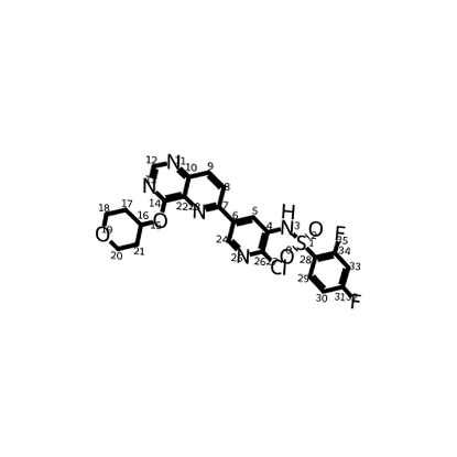 O=S(=O)(Nc1cc(-c2ccc3ncnc(OC4CCOCC4)c3n2)cnc1Cl)c1ccc(F)cc1F